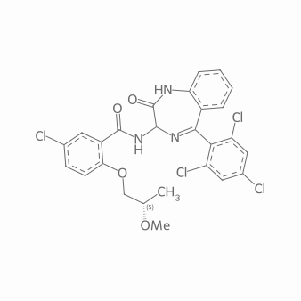 CO[C@@H](C)COc1ccc(Cl)cc1C(=O)NC1N=C(c2c(Cl)cc(Cl)cc2Cl)c2ccccc2NC1=O